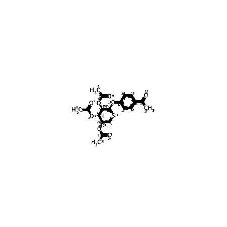 CC(=O)O[C@@H]1[C@@H](OC(C)=O)[C@@H](Oc2ccc(C(C)=O)cc2)SC[C@H]1OC(C)=O